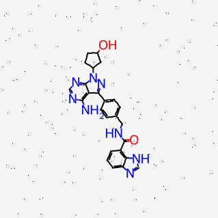 Nc1ncnc2c1c(-c1ccc(CNC(=O)c3cccc4nc[nH]c34)cc1)nn2C1CCC(O)C1